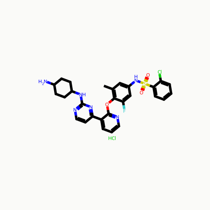 Cc1cc(NS(=O)(=O)c2ccccc2Cl)cc(F)c1Oc1ncccc1-c1ccnc(NC2CCC(N)CC2)n1.Cl